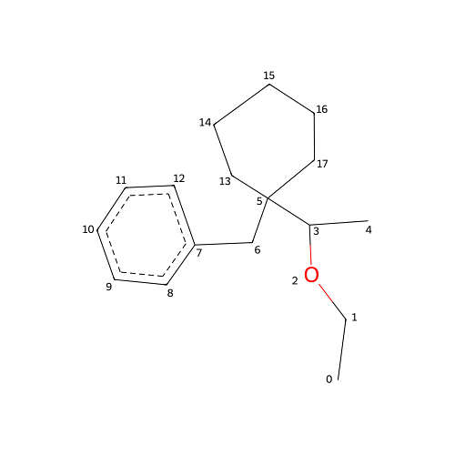 CCOC(C)C1(Cc2ccccc2)CCCCC1